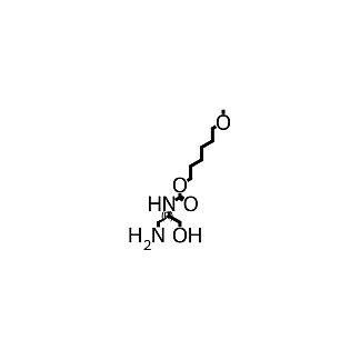 COCCCCCCOC(=O)N[C@H](CN)CO